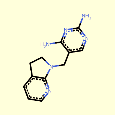 Nc1ncc(CN2CCc3cccnc32)c(N)n1